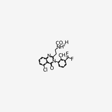 Cc1c(C(F)F)cccc1-n1c(CCNC(=O)O)nc2cccc(Cl)c2c1=O